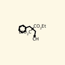 C#CCC(Cc1ccccc1)(C(=O)OCC)C(=O)OCC